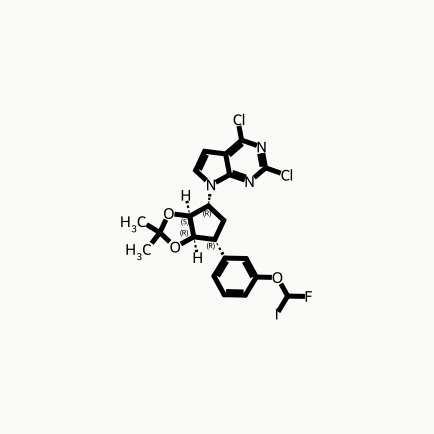 CC1(C)O[C@@H]2[C@H](O1)[C@@H](c1cccc(OC(F)I)c1)C[C@H]2n1ccc2c(Cl)nc(Cl)nc21